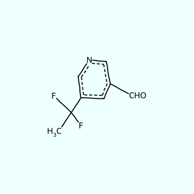 CC(F)(F)c1cncc(C=O)c1